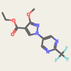 CCOC(=O)c1cn(-c2cnc(C(F)(F)F)nc2)nc1OC